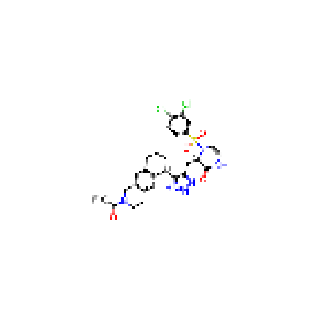 O=C1NC=CN(S(=O)(=O)c2ccc(Cl)c(Cl)c2)[C@@H]1Cc1nn[nH]c1[C@@H]1CCCc2cc3c(cc21)CCN(C(=O)C(F)(F)F)C3